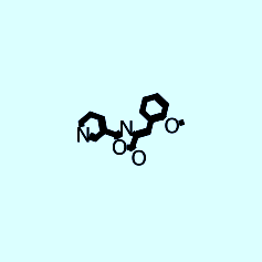 COC1=C(/C=C2\N=C(C3=CCCN=C3)OC2=O)CCC=C1